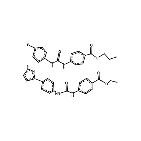 CCCOC(=O)c1ccc(NC(=O)Nc2ccc(F)cc2)cc1.CCOC(=O)c1ccc(NC(=O)Nc2ccc(-c3cc[nH]n3)cc2)cc1